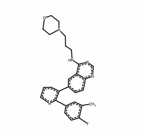 Cc1cc(-c2ncccc2-c2ccc3ncnc(NCCCN4CCOCC4)c3c2)ccc1F